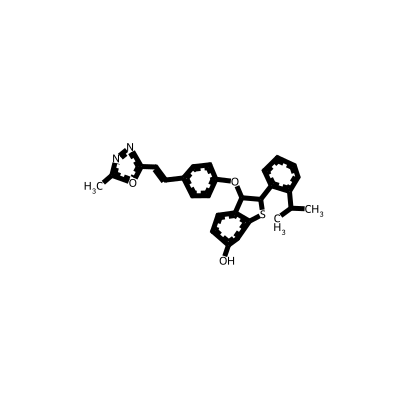 Cc1nnc(/C=C/c2ccc(OC3c4ccc(O)cc4SC3c3ccccc3C(C)C)cc2)o1